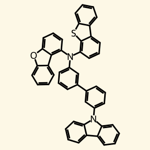 c1cc(-c2cccc(-n3c4ccccc4c4ccccc43)c2)cc(N(c2cccc3c2sc2ccccc23)c2cccc3oc4ccccc4c23)c1